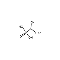 CC(=O)OC(C#N)P(=O)(O)O